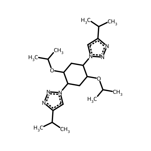 CC(C)OC1CC(n2cc(C(C)C)nn2)C(OC(C)C)CC1n1cc(C(C)C)nn1